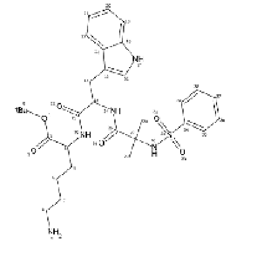 CC(C)(C)OC(=O)C(CCCCN)NC(=O)C(Cc1c[nH]c2ccccc12)NC(=O)C(C)(C)NS(=O)(=O)c1ccccc1